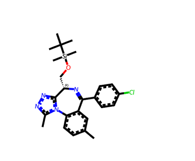 Cc1ccc2c(c1)C(c1ccc(Cl)cc1)=N[C@@H](CO[Si](C)(C)C(C)(C)C)c1nnc(C)n1-2